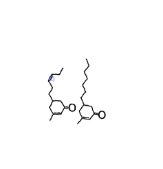 CC/C=C\CCC1CC(=O)C=C(C)C1.CCCCCCCC1CC(=O)C=C(C)C1